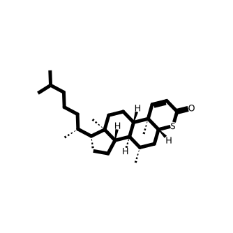 CC(C)CCC[C@@H](C)[C@H]1CC[C@H]2[C@@H]3[C@@H](C)C[C@H]4SC(=O)C=C[C@]4(C)[C@H]3CC[C@]12C